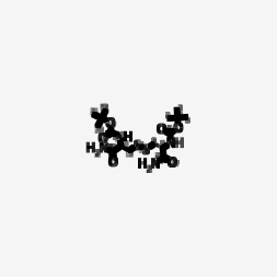 CC(C)(C)OC(=O)N[C@@H](CSSC[C@H](NC(=O)OC(C)(C)C)C(N)=O)C(N)=O